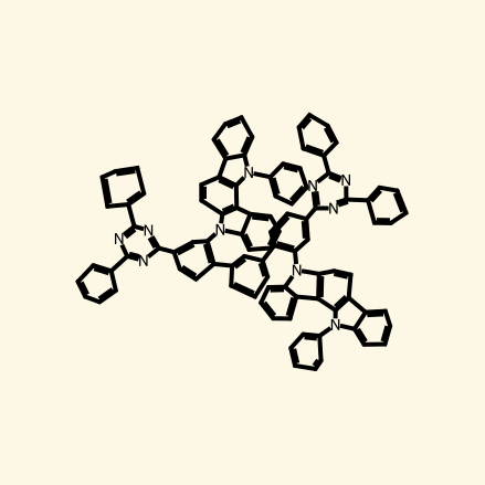 c1ccc(-c2nc(-c3ccccc3)nc(-c3ccc(-c4cccc(-c5ccc(-c6nc(-c7ccccc7)nc(-c7ccccc7)n6)cc5-n5c6ccccc6c6c5ccc5c7ccccc7n(-c7ccccc7)c56)c4)c(-n4c5ccccc5c5c4ccc4c6ccccc6n(-c6ccccc6)c45)c3)n2)cc1